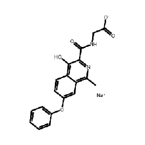 Cc1nc(C(=O)NCC(=O)[O-])c(O)c2ccc(Oc3ccccc3)cc12.[Na+]